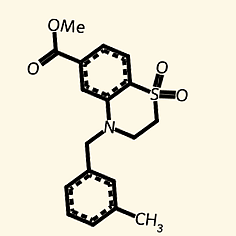 COC(=O)c1ccc2c(c1)N(Cc1cccc(C)c1)CCS2(=O)=O